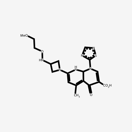 COCCONC1CN(C2=CC(C)=C3C(=O)C(C(=O)O)=CN(c4ncns4)C3N2)C1